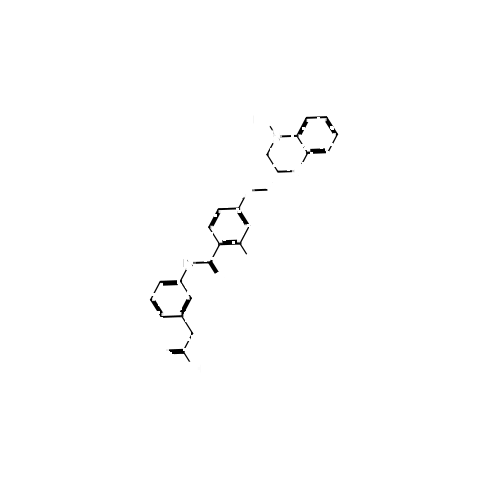 CN1C[C@@H](COc2ccc(C(=O)Nc3cccc(CC(=O)O)c3)c(Cl)c2)Oc2ccccc21